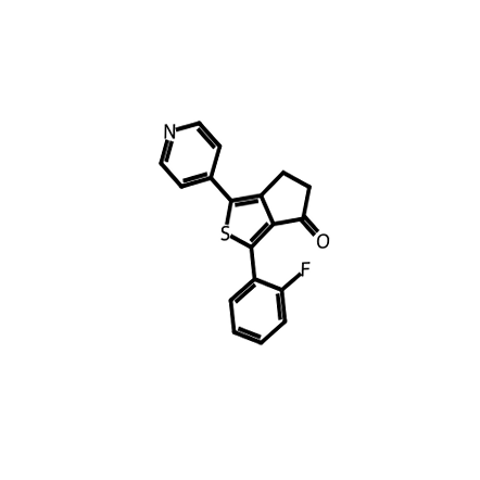 O=C1CCc2c(-c3ccncc3)sc(-c3ccccc3F)c21